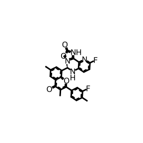 Cc1cc([C@@H](C)Nc2ccc(F)nc2-c2noc(=O)[nH]2)c2oc(-c3ccc(C)c(F)c3)c(C)c(=O)c2c1